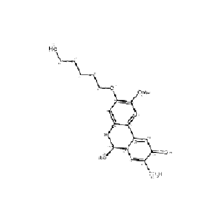 COc1cc2c(cc1OCCCCCO)C[C@H](C(C)(C)C)n1cc(C(=O)O)c(=O)cc1-2